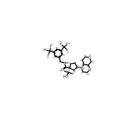 CC(C)(O)[C@]1(C(=O)NCc2cc(C(F)(F)F)cc(C(F)(F)F)c2)CC[C@@H](N2CCOC3COCCC32)C1